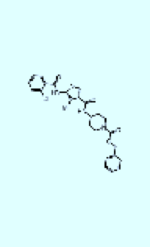 O=C(Nc1[nH]nc(C(=O)NC2CCN(C(=O)OCc3ccccc3)CC2)c1Br)c1ccccc1Cl